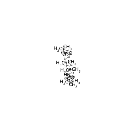 CC(C)(C)CS(=O)(=O)CCC(C)(C)CCC(C)(C)CNS(=O)(=O)C(C)(C)C